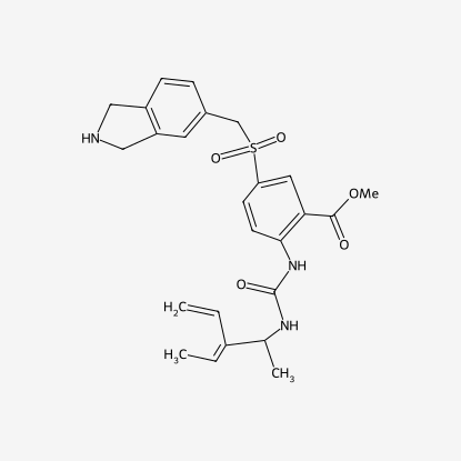 C=C/C(=C\C)C(C)NC(=O)Nc1ccc(S(=O)(=O)Cc2ccc3c(c2)CNC3)cc1C(=O)OC